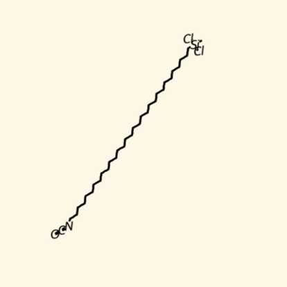 C[Si](Cl)(Cl)CCCCCCCCCCCCCCCCCCCCCCCCCCCCCCCN=C=O